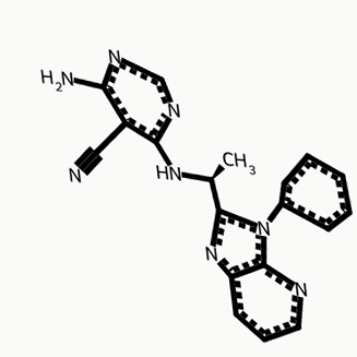 C[C@H](Nc1ncnc(N)c1C#N)c1nc2cccnc2n1-c1ccccc1